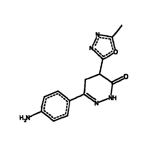 Cc1nnc(C2CC(c3ccc(N)cc3)=NNC2=O)o1